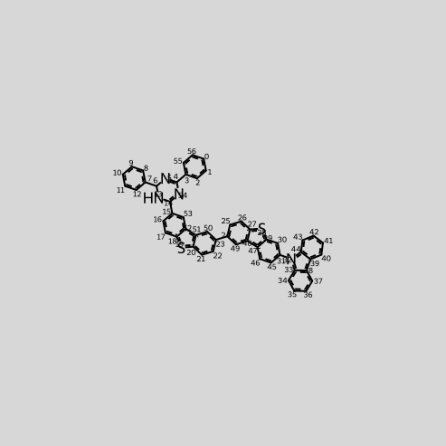 c1ccc(C2=NC(c3ccccc3)NC(c3ccc4sc5ccc(-c6ccc7sc8cc(-n9c%10ccccc%10c%10ccccc%109)ccc8c7c6)cc5c4c3)=N2)cc1